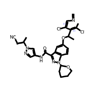 C=N/C=C(Cl)\C(=C(/C)Cl)C(C)Oc1ccc2c(c1)c(C(=O)Nc1cnn(C(C)CC#N)c1)nn2C1CCCCO1